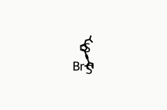 CC(C)Cc1ccc(C#Cc2ccsc2Br)s1